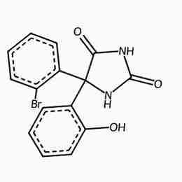 O=C1NC(=O)C(c2ccccc2O)(c2ccccc2Br)N1